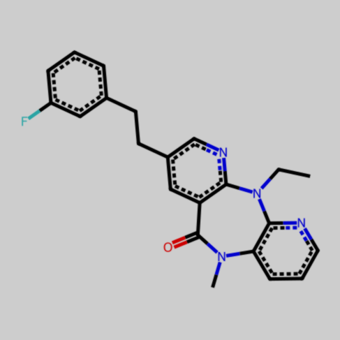 CCN1c2ncc(CCc3cccc(F)c3)cc2C(=O)N(C)c2cccnc21